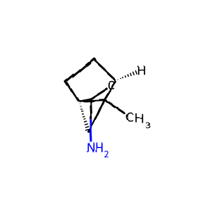 CC12C[C@@]13CC[C@@H]2CC3N